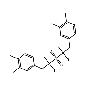 Cc1ccc(CC(I)(I)S(=O)(=O)C(I)(I)Cc2ccc(C)c(C)c2)cc1C